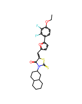 CCOc1ccc(-c2ccc(/C=C3\SC(=S)N(C4CCC5CCCCC5C4)C3=O)o2)c(F)c1F